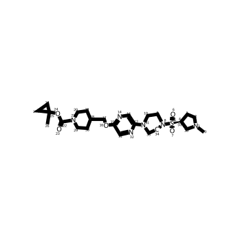 CN1CC[C@H](S(=O)(=O)N2CCN(c3cnc(OCC4CCN(C(=O)OC5(C)CC5)CC4)cn3)CC2)C1